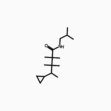 CC(C)CNC(=O)C(C)(C)C(C)(C)C(C)C1CC1